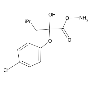 CC(C)CC(O)(Oc1ccc(Cl)cc1)C(=O)ON